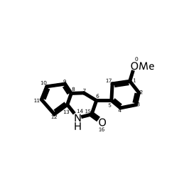 COc1cccc(C2Cc3ccccc3NC2=O)c1